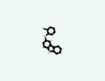 Ic1ccccc1Oc1ccc2sc3ccccc3c2c1